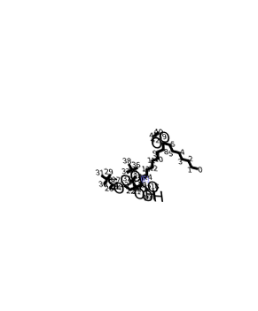 CCCCCCCC1(CCCCCC/C=C/[C@H](C(=O)O)[C@@](O)(CCO[Si](C)(C)C(C)(C)C)C(=O)OC(C)(C)C)OCCO1